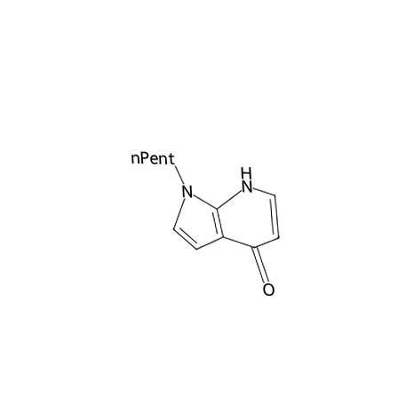 CCCCCn1ccc2c(=O)cc[nH]c21